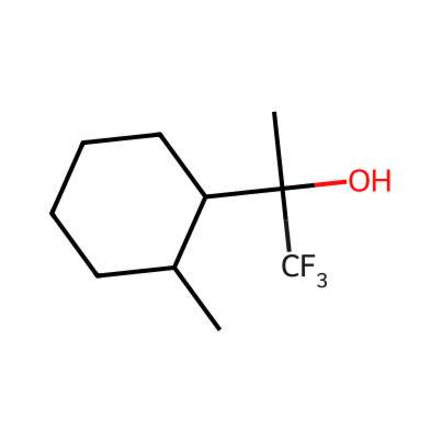 CC1CCCCC1C(C)(O)C(F)(F)F